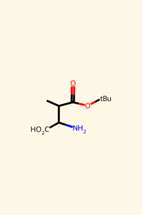 CC(C(=O)OC(C)(C)C)C(N)C(=O)O